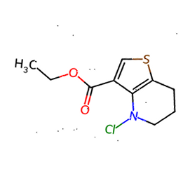 CCOC(=O)c1csc2c1N(Cl)CCC2